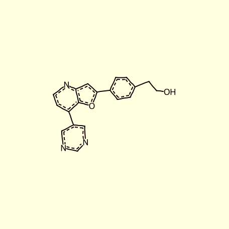 OCCc1ccc(-c2cc3nccc(-c4cncnc4)c3o2)cc1